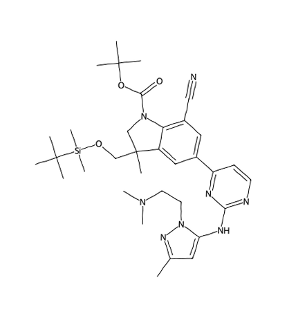 Cc1cc(Nc2nccc(-c3cc(C#N)c4c(c3)C(C)(CO[Si](C)(C)C(C)(C)C)CN4C(=O)OC(C)(C)C)n2)n(CCN(C)C)n1